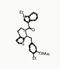 CCc1ccc(CC2c3sccc3CCN2C(=O)c2cn(CC)c3ccccc23)cc1OC